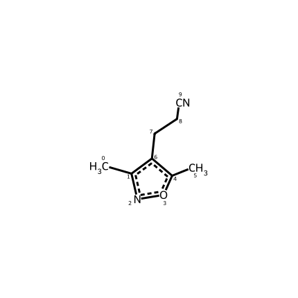 Cc1noc(C)c1CCC#N